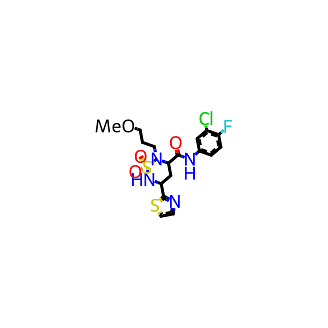 COCCCN1C(C(=O)Nc2ccc(F)c(Cl)c2)CC(c2nccs2)NS1(=O)=O